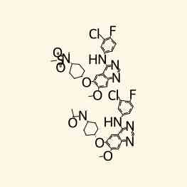 COc1cc2ncnc(Nc3ccc(F)c(Cl)c3)c2cc1O[C@H]1CC[C@@H](N(C)C(C)=O)CC1.COc1cc2ncnc(Nc3ccc(F)c(Cl)c3)c2cc1O[C@H]1CC[C@@H](N(C)S(C)(=O)=O)CC1